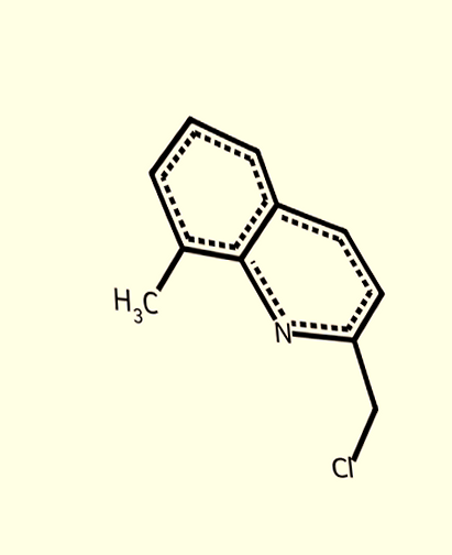 Cc1cccc2ccc(CCl)nc12